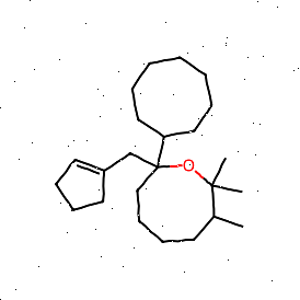 CC1CCCCC(CC2=CCCC2)(C2CCCCCCC2)OC1(C)C